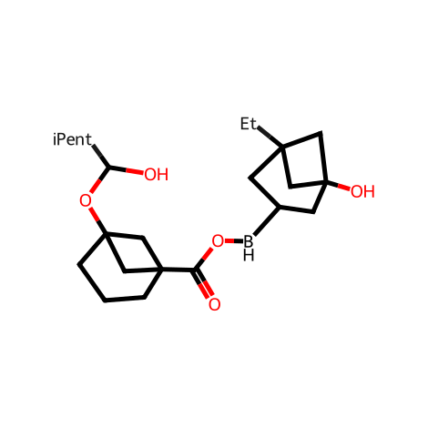 CCCC(C)C(O)OC12CCCC(C(=O)OBC3CC4(O)CC(CC)(C3)C4)(C1)C2